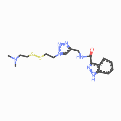 CN(C)CCSSCCn1cc(CNC(=O)c2n[nH]c3ccccc23)nn1